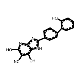 N#Cc1c(O)nc2nc(-c3ccc(-c4ccccc4O)cc3)[nH]c2c1O